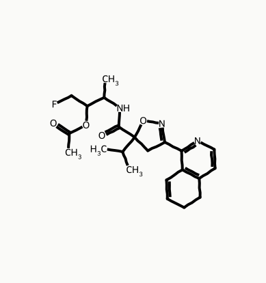 CC(=O)OC(CF)C(C)NC(=O)C1(C(C)C)CC(c2nccc3c2C=CCC3)=NO1